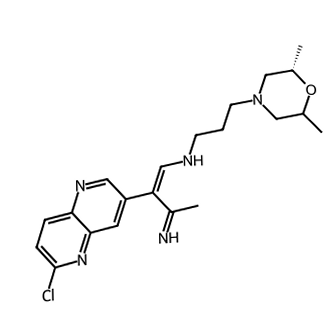 CC(=N)/C(=C\NCCCN1CC(C)O[C@@H](C)C1)c1cnc2ccc(Cl)nc2c1